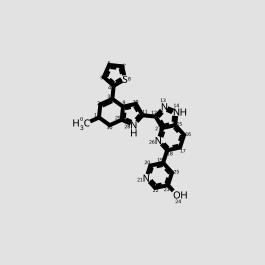 CC1C=C(c2cccs2)c2cc(-c3n[nH]c4ccc(-c5cncc(O)c5)nc34)[nH]c2C1